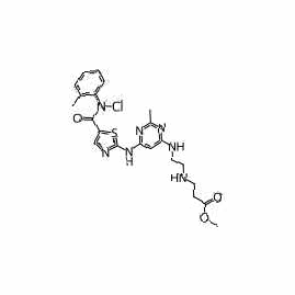 COC(=O)CCNCCNc1cc(Nc2ncc(C(=O)N(Cl)c3ccccc3C)s2)nc(C)n1